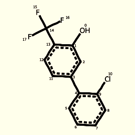 Oc1cc(-c2ccccc2Cl)ccc1C(F)(F)F